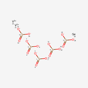 O=S([O-])[O-].O=S([O-])[O-].O=S([O-])[O-].O=S([O-])[O-].O=S([O-])[O-].[Se].[V+5].[V+5]